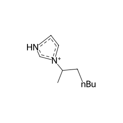 CCCCCC(C)[n+]1cc[nH]c1